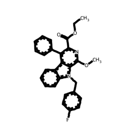 CCOC(=O)c1nc(OC)c2c(c1-c1ccccc1)c1ccccc1n2Cc1ccc(F)cc1